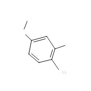 O=Cc1ccc(OC(F)(F)F)cc1F